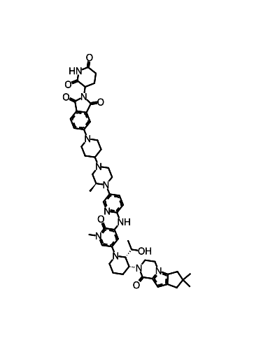 CC(O)[C@@H]1[C@H](N2CCn3c(cc4c3CC(C)(C)C4)C2=O)CCCN1c1cc(Nc2ccc(N3CCN(C4CCN(c5ccc6c(c5)C(=O)N(C5CCC(=O)NC5=O)C6=O)CC4)C[C@@H]3C)cn2)c(=O)n(C)c1